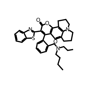 CCCCN(CCC)C(=O)c1ccccc1-c1c(-c2nc3ccccc3s2)c(=O)oc2c3c4c(cc12)CCCN4CCC3